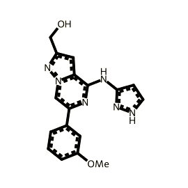 COc1cccc(-c2cn3nc(CO)cc3c(Nc3cc[nH]n3)n2)c1